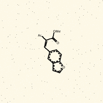 COC(=O)C(=Cc1ccc2occc2c1)C(C)=O